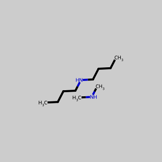 CCCCNCCCC.CNC